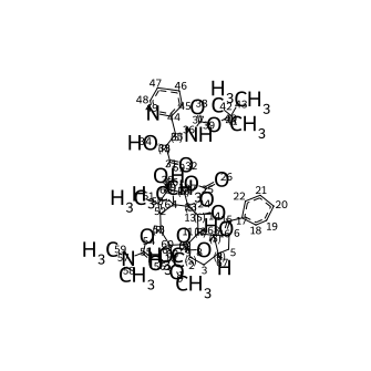 CO[C@H]1C[C@H]2CC[C@@]2(OC(C)=O)[C@H]2[C@H](OC(=O)c3ccccc3)[C@]34OC(=O)O[C@H]3[C@H](OC(=O)[C@H](O)[C@@H](NC(=O)OC(C)(C)C)c3ccccn3)C(C)=C([C@@H](OC(=O)N(C)C)C(=O)[C@]12C)C4(C)C